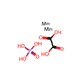 O=C(O)C(=O)O.O=P(O)(O)O.[Mn].[Mn]